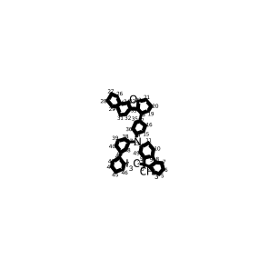 CC1(C)c2ccccc2-c2ccc(N(c3ccc(-c4cccc5oc6c7ccccc7ccc6c45)cc3)c3cccc(-c4ccccc4)c3)cc21